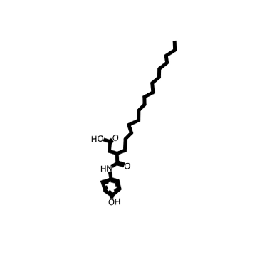 CCCCCCCCCCCCCCCCC(CC(=O)O)C(=O)Nc1ccc(O)cc1